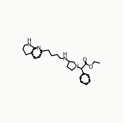 CCOC(=O)C(c1ccccc1)N1CCC(NCCCCc2ccc3c(n2)NCCC3)C1